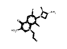 C[C@H]1[C@H](N)CN1c1c(F)cc2c(=O)c(C(=O)O)cn(CCF)c2c1F